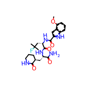 COc1cccc2[nH]c(C(=O)N[C@@H](CC(C)(C)F)C(=O)N[C@@H](C[C@@H]3CCCNC3=O)C(N)=O)cc12